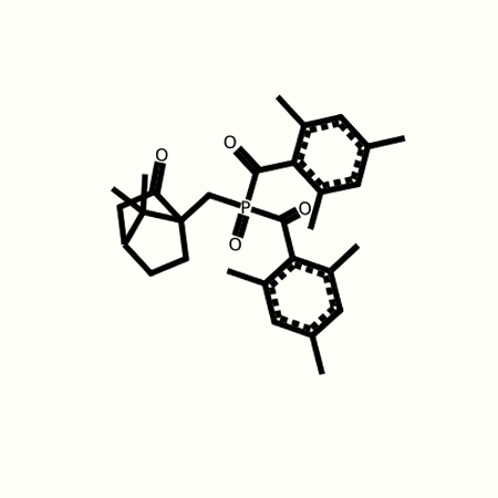 Cc1cc(C)c(C(=O)P(=O)(CC23CCC(CC2=O)C3(C)C)C(=O)c2c(C)cc(C)cc2C)c(C)c1